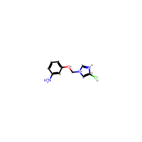 Nc1cccc(OCn2cnc(Cl)c2)c1